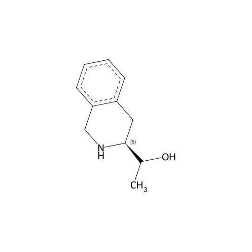 CC(O)[C@@H]1Cc2ccccc2CN1